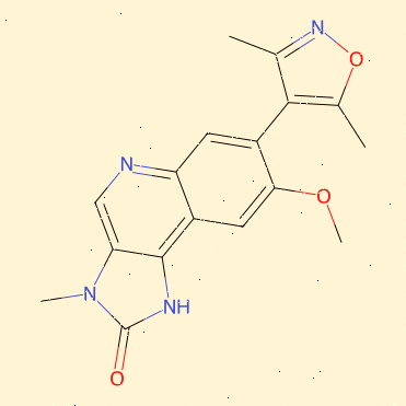 COc1cc2c(cc1-c1c(C)noc1C)ncc1c2[nH]c(=O)n1C